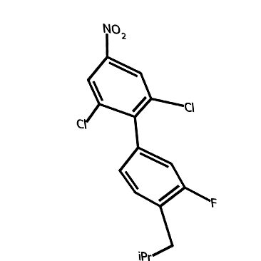 CC(C)Cc1ccc(-c2c(Cl)cc([N+](=O)[O-])cc2Cl)cc1F